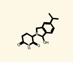 CC(C)c1ccc2c(c1)CN(C1CCC(=O)NC1=O)C2O